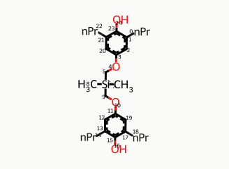 CCCc1cc(OC[Si](C)(C)COc2cc(CCC)c(O)c(CCC)c2)cc(CCC)c1O